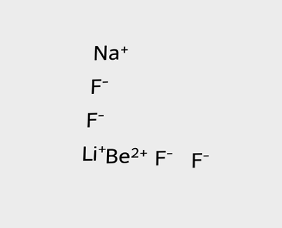 [Be+2].[F-].[F-].[F-].[F-].[Li+].[Na+]